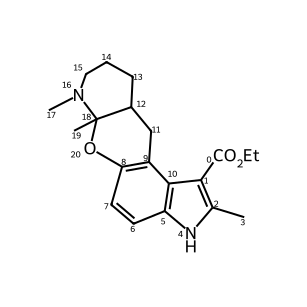 CCOC(=O)c1c(C)[nH]c2ccc3c(c12)CC1CCCN(C)C1(C)O3